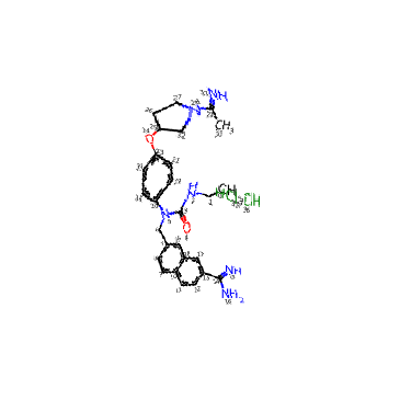 CCNC(=O)N(Cc1ccc2ccc(C(=N)N)cc2c1)c1ccc(OC2CCN(C(C)=N)C2)cc1.Cl.Cl